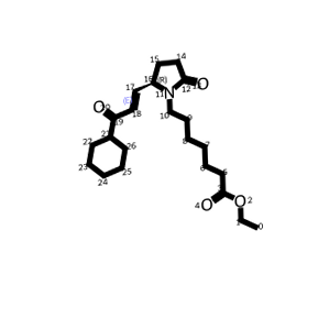 CCOC(=O)CCCCCCN1C(=O)CC[C@@H]1/C=C/C(=O)C1CCCCC1